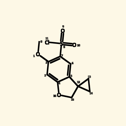 COc1cc2c(cc1S(=O)(=O)Cl)C1(CC1)CO2